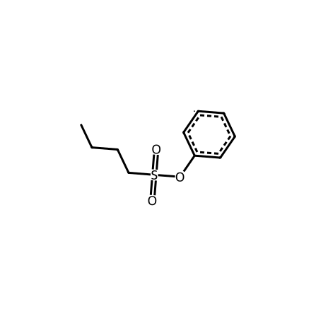 CCCCS(=O)(=O)Oc1c[c]ccc1